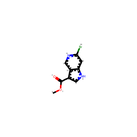 COC(=O)c1c[nH]c2cc(Br)ncc12